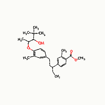 CCC(CCc1ccc(OC(C)C(O)C(C)(C)C)c(C)c1)c1ccc(C(=O)OC)c(C)c1